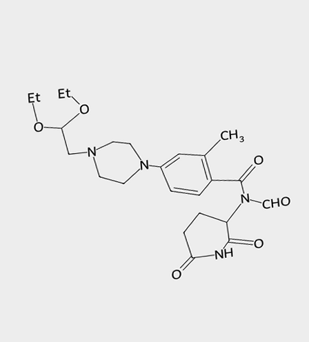 CCOC(CN1CCN(c2ccc(C(=O)N(C=O)C3CCC(=O)NC3=O)c(C)c2)CC1)OCC